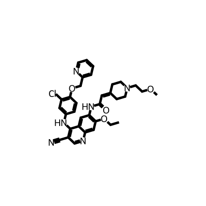 CCOc1cc2ncc(C#N)c(Nc3ccc(OCc4ccccn4)c(Cl)c3)c2cc1NC(=O)C=C1CCN(CCOC)CC1